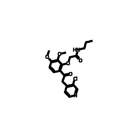 CCCNC(=O)COc1c(C(=O)Cc2ccncc2Cl)ccc(OC)c1OC